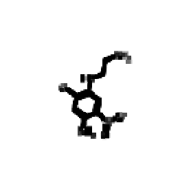 NCCNc1cc([N+](=O)[O-])c(N)cc1Cl